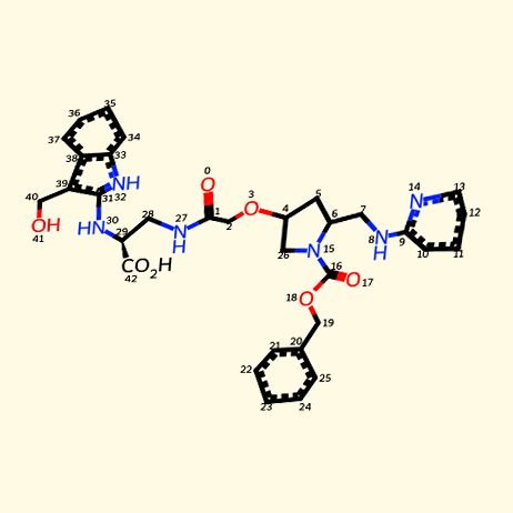 O=C(COC1CC(CNc2ccccn2)N(C(=O)OCc2ccccc2)C1)NC[C@H](Nc1[nH]c2ccccc2c1CO)C(=O)O